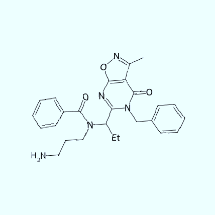 CCC(c1nc2onc(C)c2c(=O)n1Cc1ccccc1)N(CCCN)C(=O)c1ccccc1